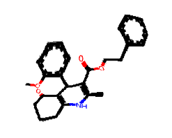 COc1ccccc1C1C(C(=O)OCCc2ccccc2)=C(C)NC2=C1C(=O)CCC2